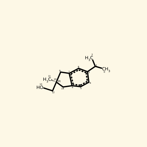 CC(C)c1ccc2c(c1)C[C@](C)(CO)C2